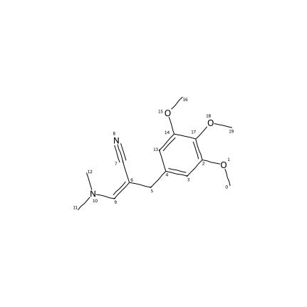 COc1cc(CC(C#N)=CN(C)C)cc(OC)c1OC